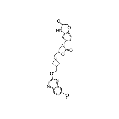 COc1ccc2ncc(OCC3CN(CC4CN(c5ccc6c(c5)NC(=O)CO6)C(=O)O4)C3)nc2c1